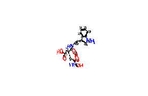 O=C(O)CC(CC(=O)NO)C(=O)NCCc1c[nH]c2ccccc12